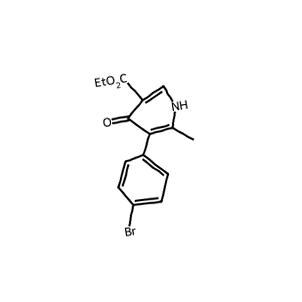 CCOC(=O)c1c[nH]c(C)c(-c2ccc(Br)cc2)c1=O